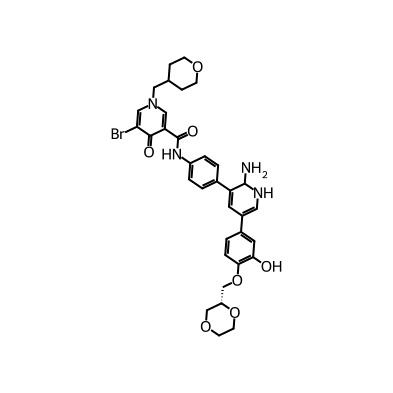 NC1NC=C(c2ccc(OC[C@H]3COCCO3)c(O)c2)C=C1c1ccc(NC(=O)c2cn(CC3CCOCC3)cc(Br)c2=O)cc1